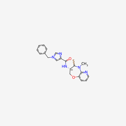 CN1C(=S)[C@@H](NC(=O)c2cn(Cc3ccccc3)cn2)COc2cccnc21